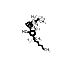 CCCCCCC(C)(C)c1cc(O)c(C2C=C(OC(=O)C(C)(C)C)C3CC2C3(C)C)c(O)c1